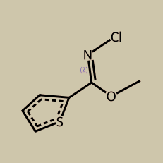 CO/C(=N\Cl)c1cccs1